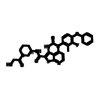 Cc1c(N2C(=O)Nc3c(C(=O)N[C@@H]4CCCN(C(=O)CO)C4)sc4nccc2c34)ccc(Oc2ccccc2)c1F